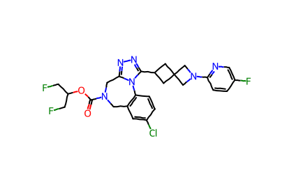 O=C(OC(CF)CF)N1Cc2cc(Cl)ccc2-n2c(nnc2C2CC3(C2)CN(c2ccc(F)cn2)C3)C1